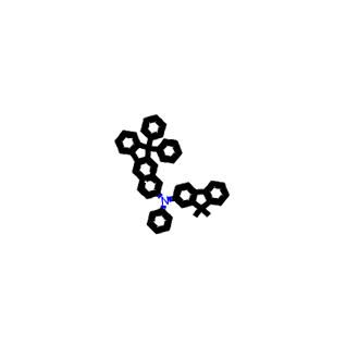 CC1(C)c2ccccc2-c2ccc(N(c3ccccc3)c3ccc4cc5c(cc4c3)C(c3ccccc3)(c3ccccc3)c3ccccc3-5)cc21